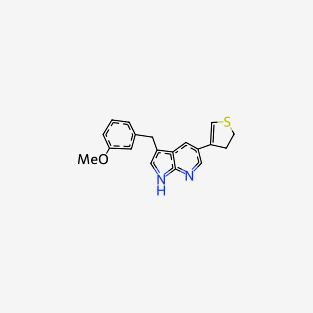 COc1cccc(Cc2c[nH]c3ncc(C4=CSCC4)cc23)c1